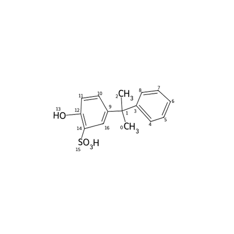 CC(C)(c1ccccc1)c1ccc(O)c(S(=O)(=O)O)c1